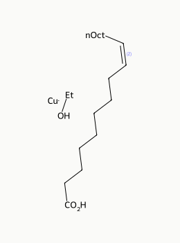 CCCCCCCC/C=C\CCCCCCCC(=O)O.CCO.[Cu]